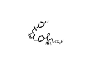 CC(C)(Cn1cc(Cc2ccc(C(=O)N(N)CCC(=O)O)cc2)nn1)c1ccc(Cl)cc1